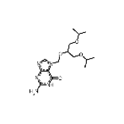 CC(C)OCC(COC(C)C)OCn1cnc2nc(N)[nH]c(=O)c21